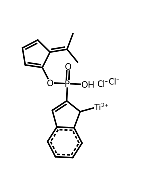 CC(C)=C1C=CC=C1OP(=O)(O)C1=Cc2ccccc2[CH]1[Ti+2].[Cl-].[Cl-]